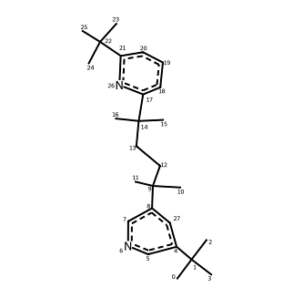 CC(C)(C)c1cncc(C(C)(C)CCC(C)(C)c2cccc(C(C)(C)C)n2)c1